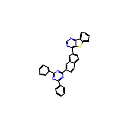 c1ccc(-c2nc(-c3ccccc3)nc(-c3ccc4ccc(-c5ncnc6c5sc5ccccc56)cc4c3)n2)cc1